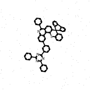 c1ccc(-c2nc(-c3ccccc3)nc(-c3cccc(-c4ccc5nc(-c6ccccc6)c6ccc7c(c6c5c4)Sc4ccccc4C74c5ccccc5-c5ccccc54)c3)n2)cc1